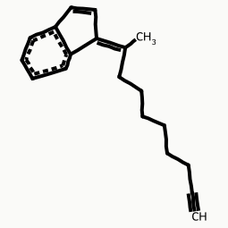 C#CCCCCCCC(C)=C1C=Cc2ccccc21